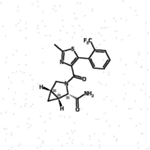 Cc1nc(C(=O)N2C[C@H]3C[C@H]3[C@H]2C(N)=O)c(-c2ccccc2C(F)(F)F)s1